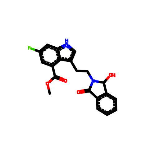 COC(=O)c1cc(F)cc2[nH]cc(CCN3C(=O)c4ccccc4C3O)c12